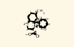 CC1CCC2OCCNC2(c2ccccc2)C1.O=CO